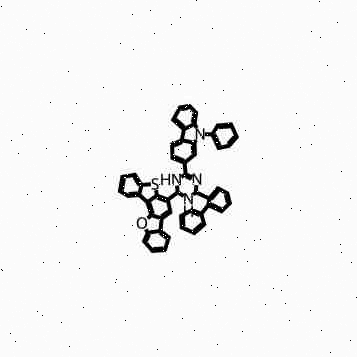 c1ccc(-c2ccccc2C2N=C(c3ccc4c5ccccc5n(-c5ccccc5)c4c3)NC(c3cc4c5ccccc5oc4c4c3sc3ccccc34)N2)cc1